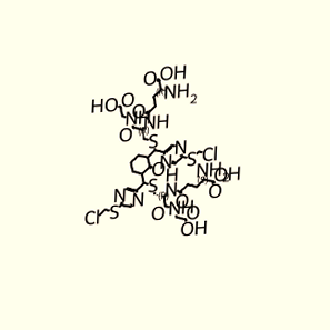 N[C@H](CCC(=O)N[C@@H](CSC(c1cnc(SCCl)cn1)C1CCCC(C(SC[C@H](NC(=O)CC[C@H](N)C(=O)O)C(=O)NCC(=O)O)c2cnc(SCCl)cn2)C1=O)C(=O)NCC(=O)O)C(=O)O